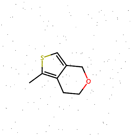 Cc1scc2c1CCOC2